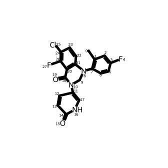 Cc1cc(F)ccc1N1CN(c2ccc(=O)[nH]c2)C(=O)c2c1ccc(Cl)c2F